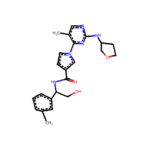 Cc1cccc(C(CO)NC(=O)c2ccn(-c3nc(NC4CCOC4)ncc3C)c2)c1